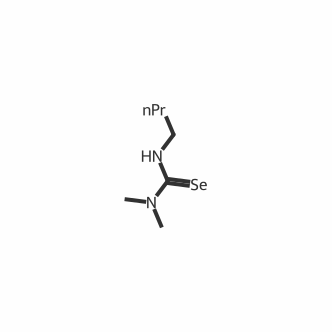 CCCCNC(=[Se])N(C)C